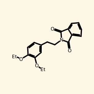 CCOc1ccc(CCN2C(=O)c3ccccc3C2=O)cc1OCC